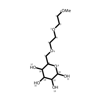 COCCOCCOCC1OC(O)C(O)C(O)C1O